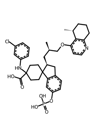 C[C@@H](COc1ccnc2c1[C@H](C)CCC2)C[C@H]1Cc2ccc(OP(=O)(O)O)cc2C12CCC(Nc1cccc(Cl)c1)(C(=O)O)CC2